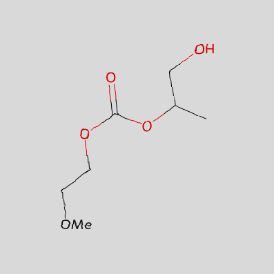 COCCOC(=O)OC(C)CO